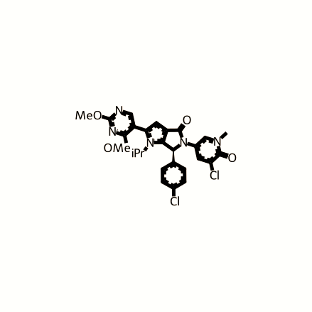 COc1ncc(-c2cc3c(n2C(C)C)[C@H](c2ccc(Cl)cc2)N(c2cc(Cl)c(=O)n(C)c2)C3=O)c(OC)n1